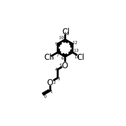 C=COCCOc1c(Cl)cc(Cl)cc1Cl